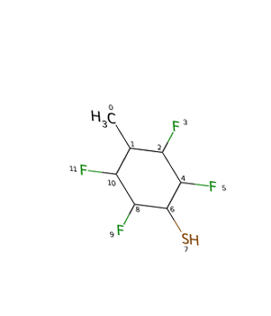 CC1C(F)C(F)C(S)C(F)C1F